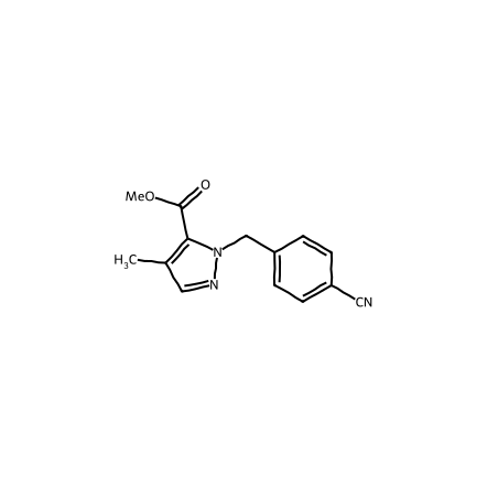 COC(=O)c1c(C)cnn1Cc1ccc(C#N)cc1